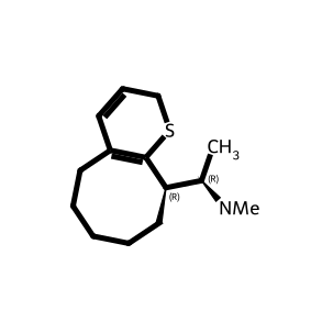 CN[C@H](C)[C@H]1CCCCCC2=C1SCC=C2